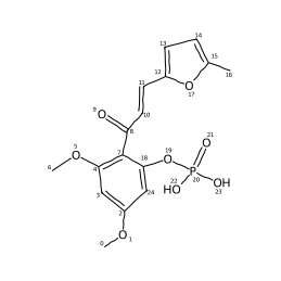 COc1cc(OC)c(C(=O)C=Cc2ccc(C)o2)c(OP(=O)(O)O)c1